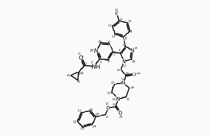 O=C(Nc1cc(-c2c(-c3ccc(F)cc3)ncn2CC(=O)N2CCN(C(=O)OCc3ccccc3)CC2)ccn1)C1CC1